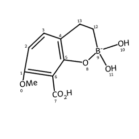 COc1ccc2c(c1C(=O)O)O[B-](O)(O)CC2